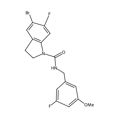 COc1cc(F)cc(CNC(=O)N2CCc3cc(Br)c(F)cc32)c1